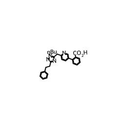 CCCCn1nc(CCc2ccccc2)nc1Cc1ccc(-c2ccccc2C(=O)O)cn1